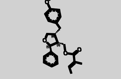 CC=C(C)C(=O)OC[C@H]1[C@@H](Cc2ccc(OC)cc2)CO[C@@H]1c1ccccc1